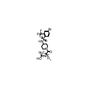 CC(C)(NC(=O)O)C(=O)N1CCC(NS(=O)(=O)c2ccc(Br)cc2C(F)(F)F)CC1